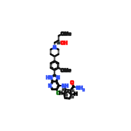 COC[C@H](O)CN1CCC(c2ccc(-c3nc4c(N[C@H]5[C@@H](C(N)=O)[C@@H]6C=C[C@H]5C6)c(Cl)cnc4[nH]3)c(OC)c2)CC1